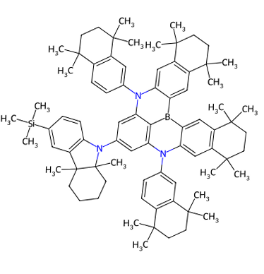 CC1(C)CCC(C)(C)c2cc(N3c4cc5c(cc4B4c6cc7c(cc6N(c6ccc8c(c6)C(C)(C)CCC8(C)C)c6cc(N8c9ccc([Si](C)(C)C)cc9C9(C)CCCCC89C)cc3c64)C(C)(C)CCC7(C)C)C(C)(C)CCC5(C)C)ccc21